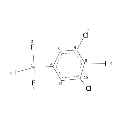 FC(F)(F)c1cc(Cl)c(I)c(Cl)c1